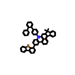 CC1(C)c2ccccc2-c2ccc(N(c3ccc(-c4ccccc4-c4ccccc4)cc3)c3ccc(-c4cccc5c4sc4ccccc45)cc3-c3ccccc3)cc21